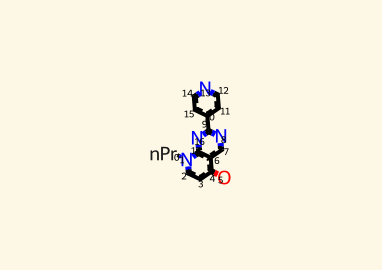 CCCn1ccc(=O)c2cnc(-c3ccncc3)nc21